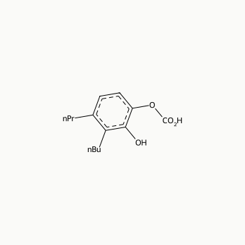 CCCCc1c(CCC)ccc(OC(=O)O)c1O